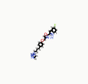 Fc1ccc2[nH]c(-c3nc(COc4ccc(CCCCn5ccnn5)cc4)co3)cc2c1